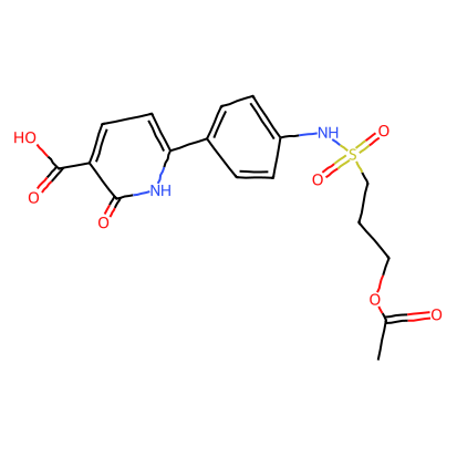 CC(=O)OCCCS(=O)(=O)Nc1ccc(-c2ccc(C(=O)O)c(=O)[nH]2)cc1